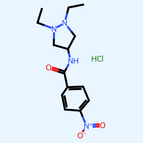 CCN1CC(NC(=O)c2ccc([N+](=O)[O-])cc2)CN1CC.Cl